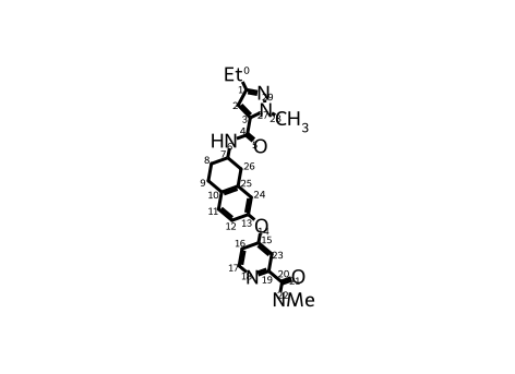 CCc1cc(C(=O)NC2CCc3ccc(Oc4ccnc(C(=O)NC)c4)cc3C2)n(C)n1